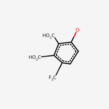 [O]c1ccc(C(F)(F)F)c(C(=O)O)c1C(=O)O